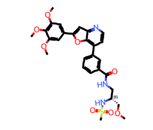 COC[C@@H](CNC(=O)c1cccc(-c2ccnc3cc(-c4cc(OC)c(OC)c(OC)c4)oc23)c1)NS(C)(=O)=O